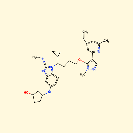 C=Cc1cc(C)nc(-c2cnn(C)c2OCCCC(C2CC2)n2/c(=N/C)[nH]c3cc(NC4CCC(O)C4)ccc32)c1